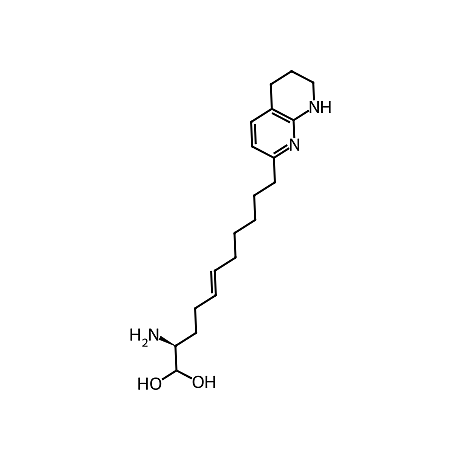 N[C@@H](CC/C=C/CCCCCc1ccc2c(n1)NCCC2)C(O)O